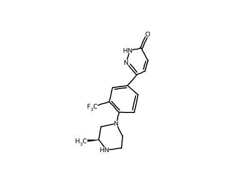 C[C@H]1CN(c2ccc(-c3ccc(=O)[nH]n3)cc2C(F)(F)F)CCN1